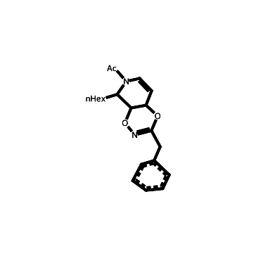 CCCCCCC1C2ON=C(Cc3ccccc3)OC2C=CN1C(C)=O